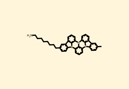 Cc1ccc2c(c1)-c1cccc3c1B2c1cccc2c1N3c1cccc3c1B2c1ccc(CCCCCCCCN)cc1-3